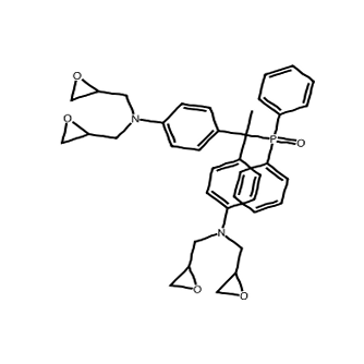 CC(c1ccc(N(CC2CO2)CC2CO2)cc1)(c1ccc(N(CC2CO2)CC2CO2)cc1)P(=O)(c1ccccc1)c1ccccc1